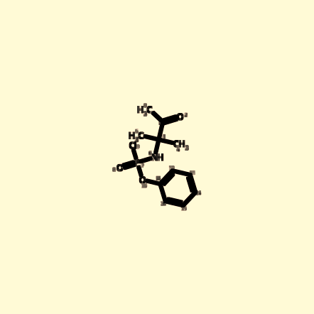 CC(=O)C(C)(C)NP(=O)(Cl)Oc1ccccc1